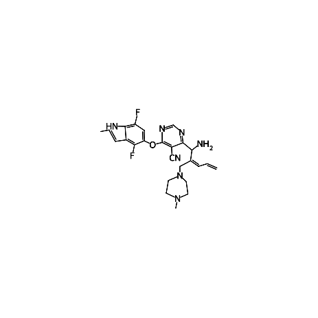 C=C/C=C(/CN1CCN(C)CC1)C(N)c1ncnc(Oc2cc(F)c3[nH]c(C)cc3c2F)c1C#N